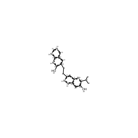 CC(C)c1nc2cc(CCc3cc4cncnc4nc3O)nnc2cc1O